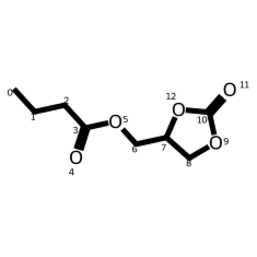 CCCC(=O)OCC1COC(=O)O1